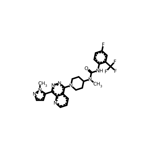 CN(C(=O)Nc1ccc(F)cc1C(F)(F)F)C1CCN(c2nnc(-c3ccnn3C)c3ncccc23)CC1